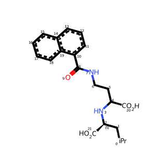 CC(C)C[C@H](NC(CCNC(=O)c1cccc2ccccc12)C(=O)O)C(=O)O